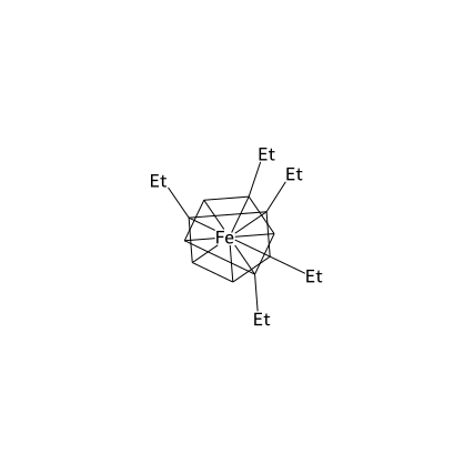 CC[C]12[CH]3[CH]4[C]5(CC)[CH]1[Fe]34251678[CH]2[CH]1[C]6(CC)[C]7(CC)[C]28CC